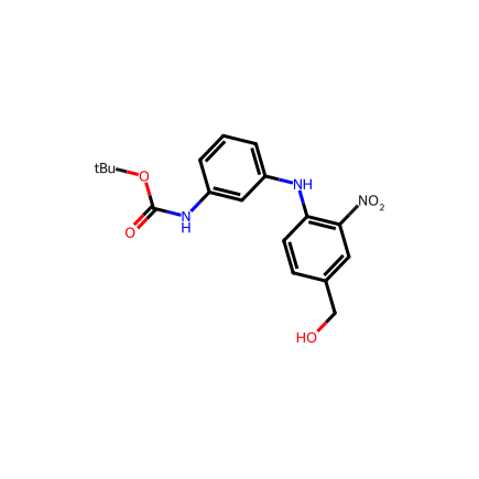 CC(C)(C)OC(=O)Nc1cccc(Nc2ccc(CO)cc2[N+](=O)[O-])c1